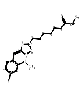 COc1cc(F)ccc1/C=C1/ON(CCCCCCC(=O)NO)OS1